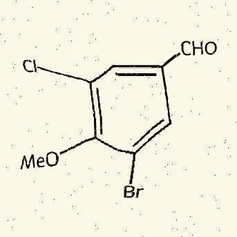 COc1c(Cl)cc(C=O)cc1Br